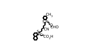 Cc1ccc2c(c1)N(CCOC=O)/C(=C/C=C(C#N)/C=C/c1sc3ccc4ccccc4c3[n+]1CCC(=O)O)S2